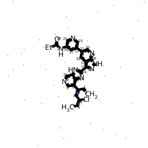 C=C/C(=C\C(Cl)=C/C)c1cncc2[nH]c(-c3n[nH]c4ncc(-c5cncc(NC(=O)CC)c5)cc34)nc12